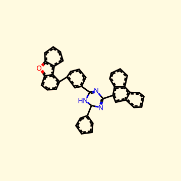 c1ccc(C2N=C(c3cc4ccccc4c4ccccc34)N=C(c3cccc(-c4cccc5oc6ccccc6c45)c3)N2)cc1